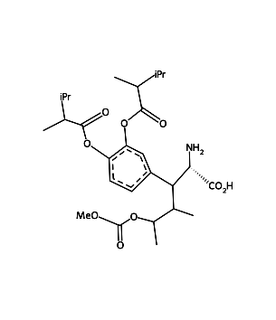 COC(=O)OC(C)C(C)C(c1ccc(OC(=O)C(C)C(C)C)c(OC(=O)C(C)C(C)C)c1)[C@H](N)C(=O)O